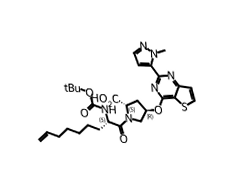 C=CCCCCC[C@H](NC(=O)OC(C)(C)C)C(=O)N1C[C@H](Oc2nc(-c3ccnn3C)nc3ccsc23)C[C@H]1C(=O)O